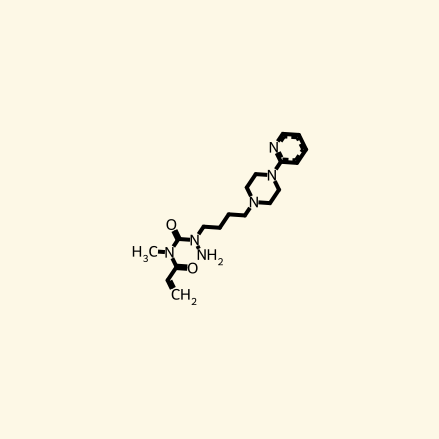 C=CC(=O)N(C)C(=O)N(N)CCCCN1CCN(c2ccccn2)CC1